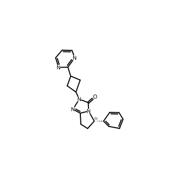 O=c1n(C2CC(c3ncccn3)C2)nc2n1[C@H](c1ccccc1)CC2